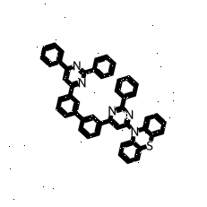 c1ccc(-c2cc(-c3cccc(-c4cccc(-c5cc(N6c7ccccc7Sc7ccccc76)nc(-c6ccccc6)n5)c4)c3)nc(-c3ccccc3)n2)cc1